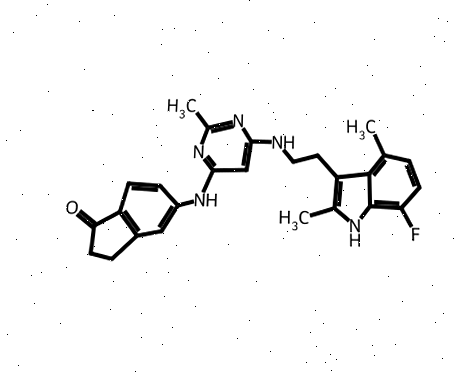 Cc1nc(NCCc2c(C)[nH]c3c(F)ccc(C)c23)cc(Nc2ccc3c(c2)CCC3=O)n1